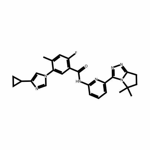 Cc1cc(F)c(C(=O)Nc2cccc(-c3nnc4n3C(C)(C)CC4)n2)cc1-n1cnc(C2CC2)c1